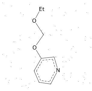 CCOCOc1[c]nccc1